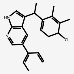 C=C/C(=C\C)c1cnc2[nH]cc(C(C)C3=CCC(Cl)C(C)=C3C)c2c1